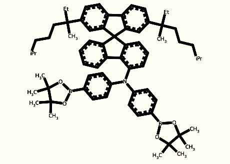 CCC(C)(CCCC(C)C)c1ccc2c(c1)C1(c3cc(C(C)(CC)CCCC(C)C)ccc3-2)c2ccccc2-c2c(N(c3ccc(B4OC(C)(C)C(C)(C)O4)cc3)c3ccc(B4OC(C)(C)C(C)(C)O4)cc3)cccc21